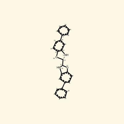 c1ccc(-c2ccc3c(c2)N[C@@H]([C@H]2Nc4cc(-c5ccccc5)ccc4O2)O3)cc1